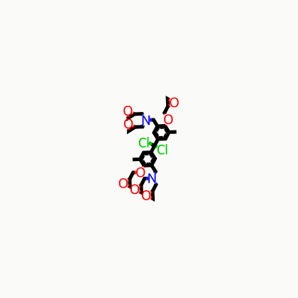 Cc1cc(C(Cl)(Cl)c2cc(C)c(OCC3CO3)c(CN(CC3CO3)CC3CO3)c2)cc(CN(CC2CO2)CC2CO2)c1OCC1CO1